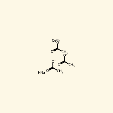 CC(=O)[O-].CC(=O)[O-].CC(=O)[O-].[Ce+3].[NaH]